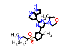 Cc1ccc(S(=O)(=O)C(C)CN(C)C)cc1-c1cc(N2CCOC[C@H]2C)nc(-c2ccnc3[nH]ccc23)n1